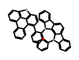 c1ccc(-n2c3ccccc3c3ccc4c5ccccc5n(-c5ccccc5-c5ccc6oc7cccc8c9ccccc9c5c6c78)c4c32)cc1